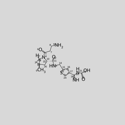 C[C@@]12C[C@@H]1N(C(=O)CCN)[C@H](C(=O)NCc1cc(C(=N)NC(=O)O)cs1)C2